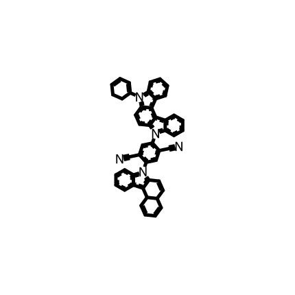 N#Cc1cc(-n2c3ccccc3c3c4c5ccccc5n(C5=CC=CCC5)c4ccc32)c(C#N)cc1-n1c2c(c3ccccc31)C1C=CC=CC1C=C2